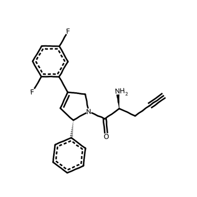 C#CC[C@H](N)C(=O)N1CC(c2cc(F)ccc2F)=C[C@H]1c1ccccc1